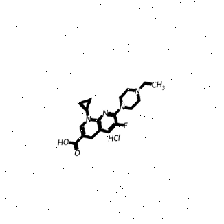 CCN1CCN(c2nc3c(cc2F)CC(C(=O)O)=CN3C2CC2)CC1.Cl